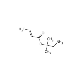 C/C=C/C(=O)OC(C)(C)CN